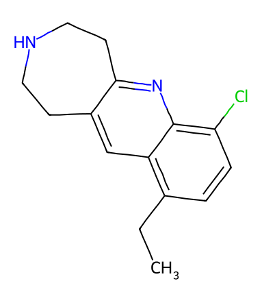 CCc1ccc(Cl)c2nc3c(cc12)CCNCC3